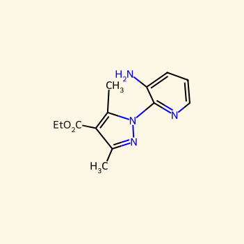 CCOC(=O)c1c(C)nn(-c2ncccc2N)c1C